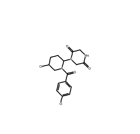 O=C1CN(C2CCC(Cl)CN2C(=O)c2ccc(Cl)cc2)C(=O)CN1